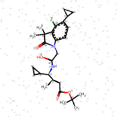 C[C@H](CC(=O)OC(C)(C)C)[C@H](NC(O)CN1C(=O)C(C)(C)c2c1ccc(C1CC1)c2F)C1CC1